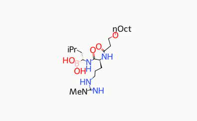 CCCCCCCCOCCC(=O)N[C@@H](CCCNC(=N)NC)C(=O)N[C@@H](CC(C)C)B(O)O